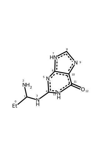 CCC(N)Nc1nc2[nH]cnc2c(=O)[nH]1